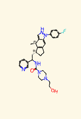 C[C@H]1C2=CNN(c3ccc(F)cc3)C2=CC2=C1[C@@H](CC(NC(=O)N1CCN(CCO)CC1)c1cccnc1)CC2